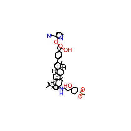 C=C(C)[C@@H]1CC[C@]2(NCC[C@]3(O)CC[C@@H](S(C)(=O)=O)CC3)CC[C@]3(C)[C@H](CC[C@@H]4[C@@]5(C)CC=C(C6=CC[C@@](CCOc7ncccc7C#N)(C(=O)O)CC6)C(C)(C)[C@@H]5CC[C@]43C)[C@@H]12